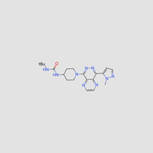 Cn1nccc1-c1nnc(N2CCC(NC(=O)NC(C)(C)C)CC2)c2nccnc12